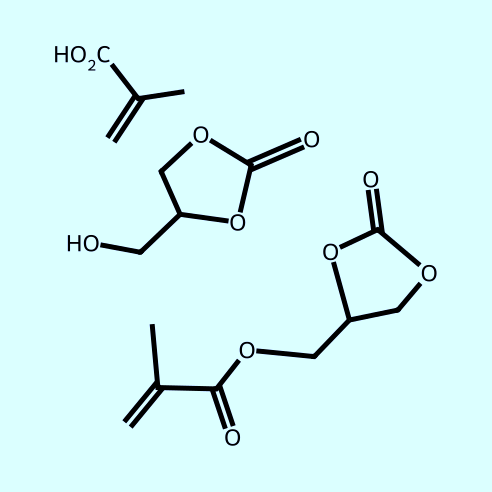 C=C(C)C(=O)O.C=C(C)C(=O)OCC1COC(=O)O1.O=C1OCC(CO)O1